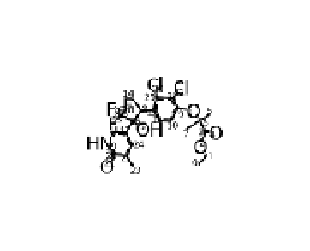 CCOC(=O)C(C)(C)Oc1ccc(C(C)C(O)(c2c[nH]c(=O)c(C)c2)C(F)(F)F)c(Cl)c1Cl